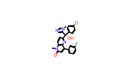 Cn1cncc1[C@@](O)(c1ccc(Cl)cc1)c1ccc2c(n1)c(-c1cccc(F)c1)cc(=O)n2C